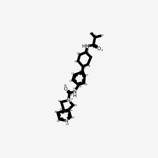 CC(C)C(=O)NC1CCC(c2ccc(NC(=O)N3Cc4ccncc4C3)cc2)CC1